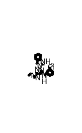 CCn1cnc2c(Nc3cccc(Cl)c3)nc(N(CN)Cc3ccccc3)nc21